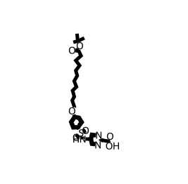 CC(C)(C)OC(=O)CCCCCCCCCCCOc1ccc(S(=O)(=O)Nc2cnc(C(=O)O)nc2)cc1